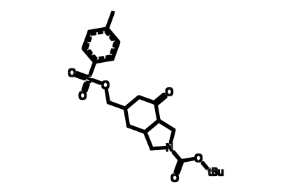 Cc1ccc(S(=O)(=O)OCC2CC(=O)C3CN(C(=O)OC(C)(C)C)CC3C2)cc1